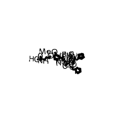 COc1cc(C(C)NNC(=O)[C@H](COCc2ccccc2)NC(=O)[C@H](Cc2ccccc2)NC(=O)OC(C)(C)C)c([N+](=O)[O-])cc1OCCCC(=O)NO